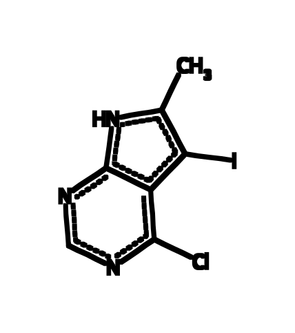 Cc1[nH]c2ncnc(Cl)c2c1I